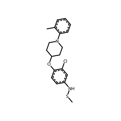 CSNc1ccc(OC2CCN(c3ccccc3C)CC2)c(Cl)c1